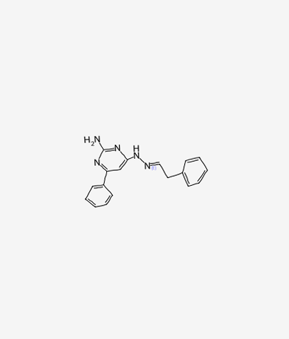 Nc1nc(N/N=C/Cc2ccccc2)cc(-c2ccccc2)n1